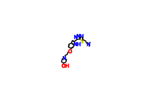 CN(C)CCc1cc2[nH]nc(-c3cc4ccc(OCCCN5CCC(O)CC5)cc4[nH]3)c2s1